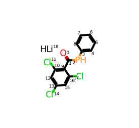 O=C(Pc1ccccc1)c1c(Cl)cc(Cl)cc1Cl.[LiH]